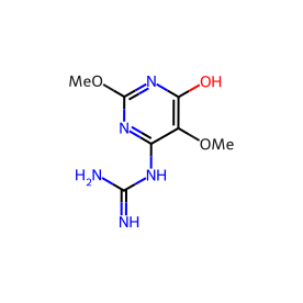 COc1nc(O)c(OC)c(NC(=N)N)n1